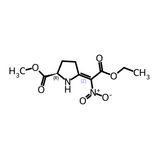 CCOC(=O)/C(=C1\CC[C@H](C(=O)OC)N1)[N+](=O)[O-]